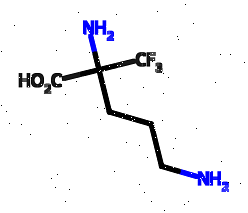 NCCCC(N)(C(=O)O)C(F)(F)F